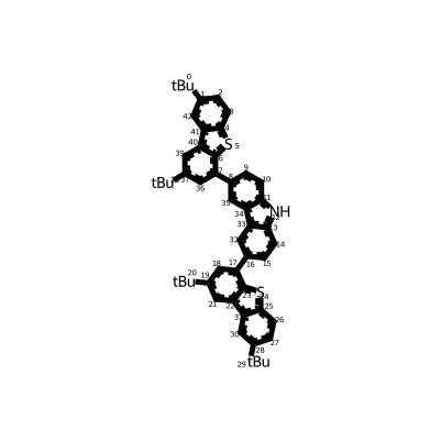 CC(C)(C)c1ccc2sc3c(-c4ccc5[nH]c6ccc(-c7cc(C(C)(C)C)cc8c7sc7ccc(C(C)(C)C)cc78)cc6c5c4)cc(C(C)(C)C)cc3c2c1